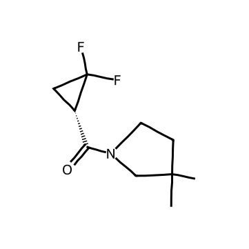 CC1(C)CCN(C(=O)[C@@H]2CC2(F)F)C1